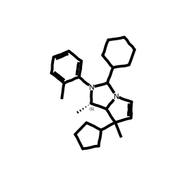 Cc1ccccc1N1C(C2CCCCC2)N2C=CC(C)(C3CCCC3)C2[C@@H]1C